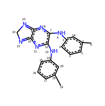 Cc1cccc(Nc2nc3c(nc2Nc2cccc(C)c2)=NCN=3)c1